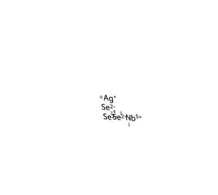 [Ag+].[Nb+5].[Se-2].[Se-2].[Se-2]